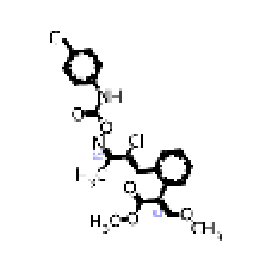 CO/C=C(/C(=O)OC)c1ccccc1C=C(Cl)/C(C)=N\OC(=O)Nc1ccc(Cl)cc1